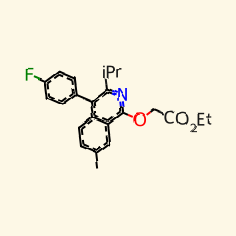 CCOC(=O)COc1nc(C(C)C)c(-c2ccc(F)cc2)c2ccc(C)cc12